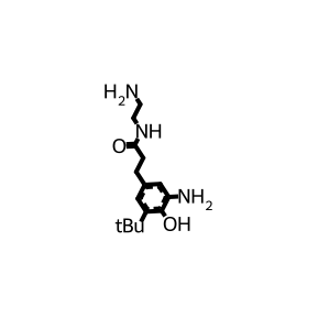 CC(C)(C)c1cc(CCC(=O)NCCN)cc(N)c1O